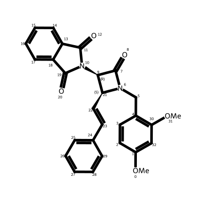 COc1ccc(CN2C(=O)[C@H](N3C(=O)c4ccccc4C3=O)[C@@H]2C=Cc2ccccc2)c(OC)c1